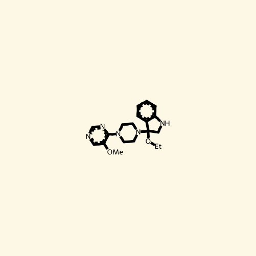 CCOC1(N2CCN(c3ncncc3OC)CC2)CNc2ccccc21